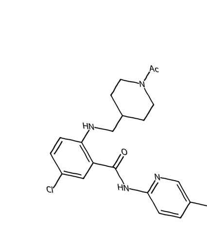 CC(=O)N1CCC(CNc2ccc(Cl)cc2C(=O)Nc2ccc(Cl)cn2)CC1